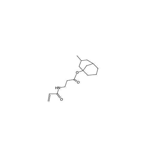 C=CC(=O)NCCC(=O)OC12CCCC(CC(C)C1)C2